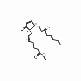 CCCCCC(=O)CC[C@H]1C=CC(=O)[C@@H]1C/C=C\CCCC(=O)OC